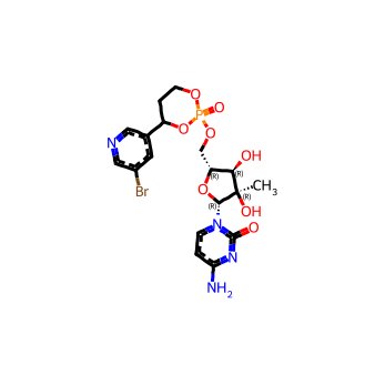 C[C@@]1(O)[C@H](O)[C@@H](COP2(=O)OCCC(c3cncc(Br)c3)O2)O[C@H]1n1ccc(N)nc1=O